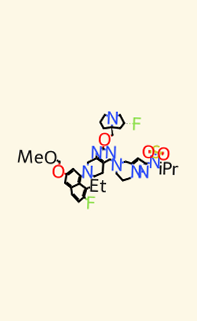 CCc1c(F)ccc2cc(OCOC)cc(N3CCc4c(nc(OC[C@@]56CCCN5C[C@H](F)C6)nc4N4CCCn5nc(N(C(C)C)S(C)(=O)=O)cc5C4)C3)c12